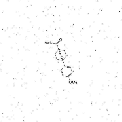 CNC(=O)C12CCC(c3ccc(OC)cc3)(CC1)CC2